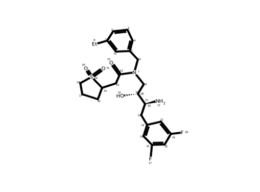 CCc1cccc(CN(C[C@@H](O)[C@@H](N)Cc2cc(F)cc(F)c2)C(=O)CC2CCCS2(=O)=O)c1